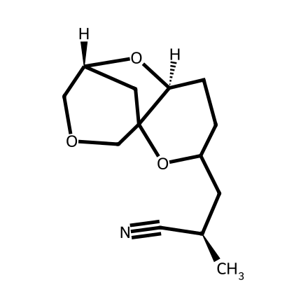 C[C@@H](C#N)CC1CC[C@@H]2O[C@H]3COCC2(C3)O1